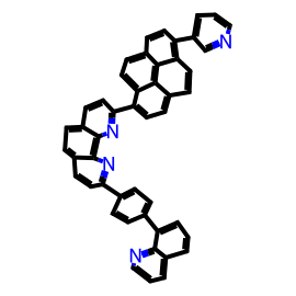 c1cncc(-c2ccc3ccc4c(-c5ccc6ccc7ccc(-c8ccc(-c9cccc%10cccnc9%10)cc8)nc7c6n5)ccc5ccc2c3c54)c1